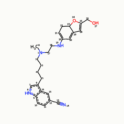 CN(CCCCc1c[nH]c2ccc(C#N)cc12)CCNC1=CCC2OC(CO)=CC2=C1